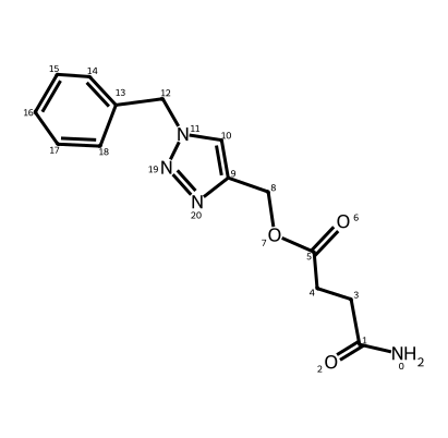 NC(=O)CCC(=O)OCc1cn(Cc2ccccc2)nn1